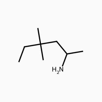 CCC(C)(C)CC(C)N